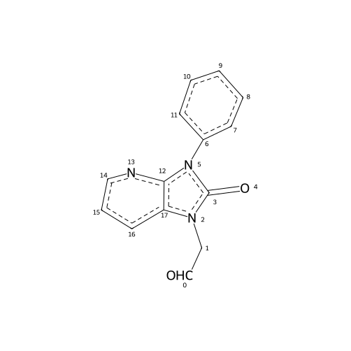 O=CCn1c(=O)n(-c2ccccc2)c2ncccc21